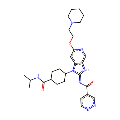 CC(C)NC(=O)C1CCC(n2/c(=N/C(=O)c3ccnnc3)[nH]c3cnc(OCCN4CCCCC4)cc32)CC1